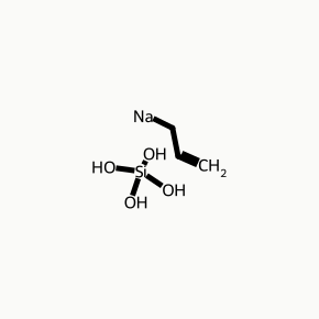 C=C[CH2][Na].O[Si](O)(O)O